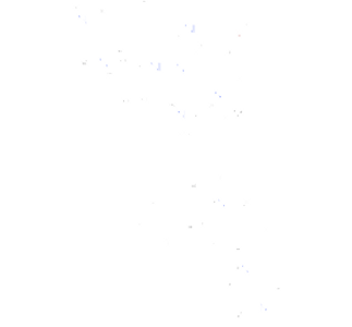 COc1cc(N2CCC(N3CCNCC3)CC2)c(C2CCCC2)cc1Nc1ncc(Br)c(Nc2ccc3nccnc3c2NS(C)(=O)=O)n1